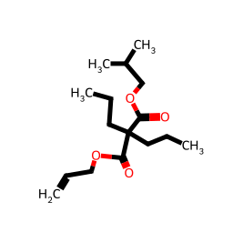 C=CCOC(=O)C(CCC)(CCC)C(=O)OCC(C)C